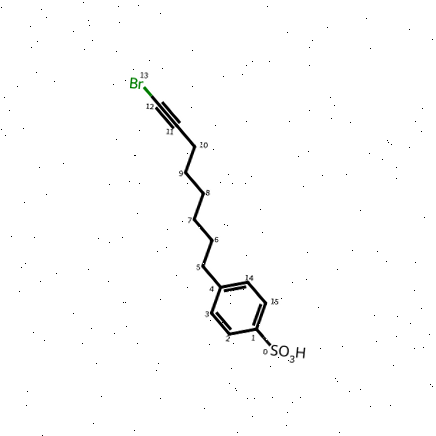 O=S(=O)(O)c1ccc(CCCCCCC#CBr)cc1